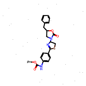 CC(C)OC(=O)Nc1ccc(C2=NC(N3CC(Cc4ccccc4)OC3=O)CS2)cc1